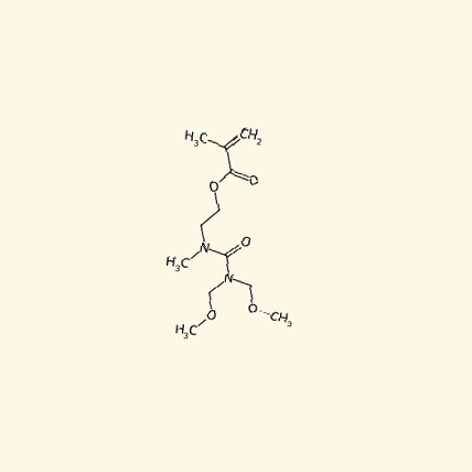 C=C(C)C(=O)OCCN(C)C(=O)N(COC)COC